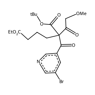 CCOC(=O)CCCC(C(=O)COC)(C(=O)OC(C)(C)C)C(=O)c1cncc(Br)c1